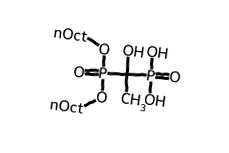 CCCCCCCCOP(=O)(OCCCCCCCC)C(C)(O)P(=O)(O)O